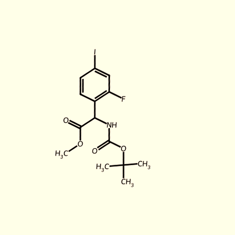 COC(=O)C(NC(=O)OC(C)(C)C)c1ccc(I)cc1F